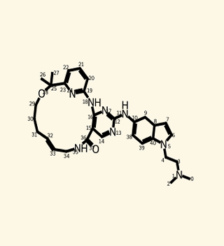 CN(C)CCN1C=CC2CC(Nc3ncc4c(n3)Nc3cccc(n3)C(C)(C)OCCC/C=C/CNC4=O)=CC=C21